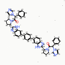 O=C(C(c1ccccc1)n1ccnc1)N1CCC[C@H]1c1nc2ccc(-c3ccc(-c4ccc5nc([C@@H]6CCCN6C(=O)C(c6ccccc6)n6ccnc6)[nH]c5c4)cc3)cc2[nH]1